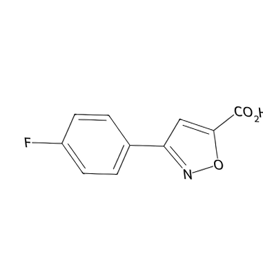 O=C(O)c1cc(-c2ccc(F)cc2)no1